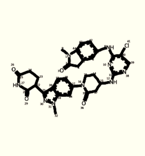 CN1C(=O)Cc2cc(Nc3nc(NC4CCN(c5ccc6c(C7CCC(=O)NC7=O)nn(C)c6c5)C(=O)C4)ncc3Cl)ccc21